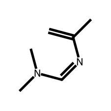 C=C(C)/N=C\N(C)C